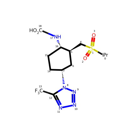 CC(C)S(=O)(=O)C[C@H]1C[C@H](n2nnnc2C(F)(F)F)CC[C@@H]1NC(=O)O